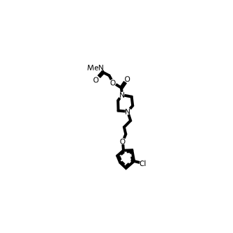 CNC(=O)COC(=O)N1CCN(CCCOc2cccc(Cl)c2)CC1